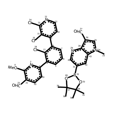 COc1nc(-c2cccc(-c3ccnc(Cl)c3Cl)c2Cl)ccc1C=O.Cn1cc(C=O)c2ncc(B3OC(C)(C)C(C)(C)O3)cc21